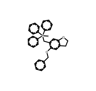 IP(Cc1cc2c(cc1OCc1ccccc1)CCO2)(c1ccccc1)(c1ccccc1)c1ccccc1